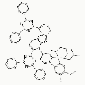 CCc1cc2c(cc1F)-c1ccc(-c3c(-c4nc(-c5ccccc5)nc(-c5ccccc5)n4)ccc4c3sc3cccc(-c5nc(-c6ccccc6)nc(-c6ccccc6)n5)c34)cc1C21C(C)CC2CC(C)CC1C2